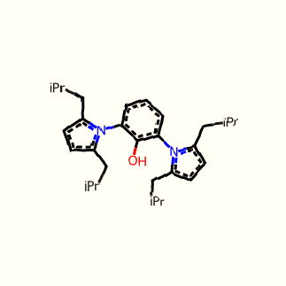 CC(C)Cc1ccc(CC(C)C)n1-c1cccc(-n2c(CC(C)C)ccc2CC(C)C)c1O